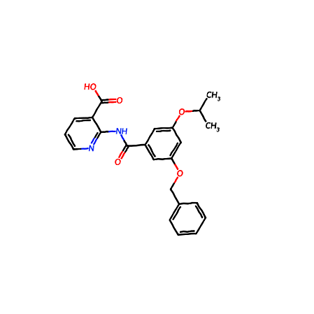 CC(C)Oc1cc(OCc2ccccc2)cc(C(=O)Nc2ncccc2C(=O)O)c1